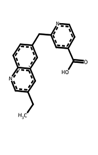 CCc1cnc2ccc(Cc3cc(C(=O)O)ccn3)cc2c1